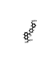 CNCc1cccc(C2CCN(C(=O)c3cccc4ccc(B(O)O)cc34)CC2)c1